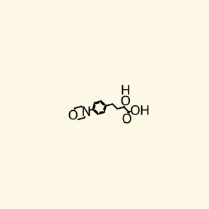 O=C(O)C(O)CCc1ccc(N2CCOCC2)cc1